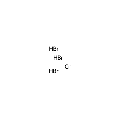 Br.Br.Br.[Cr]